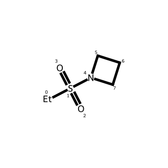 [CH2]CS(=O)(=O)N1CCC1